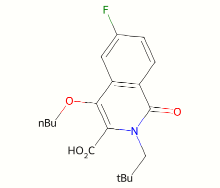 CCCCOc1c(C(=O)O)n(CC(C)(C)C)c(=O)c2ccc(F)cc12